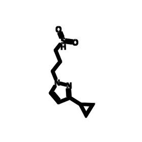 O=[SH](=O)CCCn1ccc(C2CC2)n1